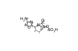 Nc1noc(C2CCC3CN2C(=O)N3OS(=O)(=O)O)n1